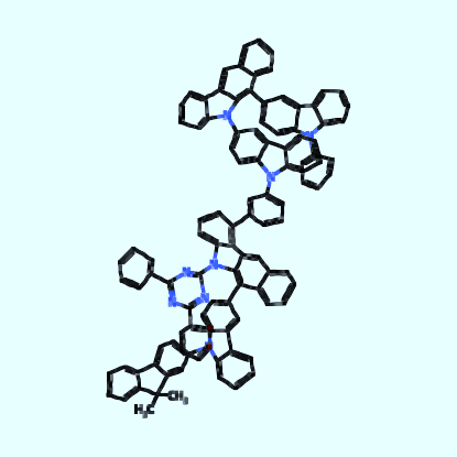 CC1(C)c2ccccc2-c2ccc(-n3c4ccccc4c4cc(-c5c6ccccc6cc6c7c(-c8cccc(-n9c%10ccccc%10c%10cc(-n%11c%12ccccc%12c%12cc%13ccccc%13c(-c%13ccc%14c(c%13)c%13ccccc%13n%14-c%13ccccc%13)c%12%11)ccc%109)c8)cccc7n(-c7nc(-c8ccccc8)nc(-c8ccccc8)n7)c56)ccc43)cc21